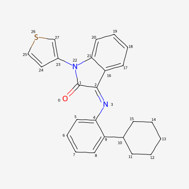 O=C1C(=Nc2ccccc2C2CCCCC2)c2ccccc2N1c1ccsc1